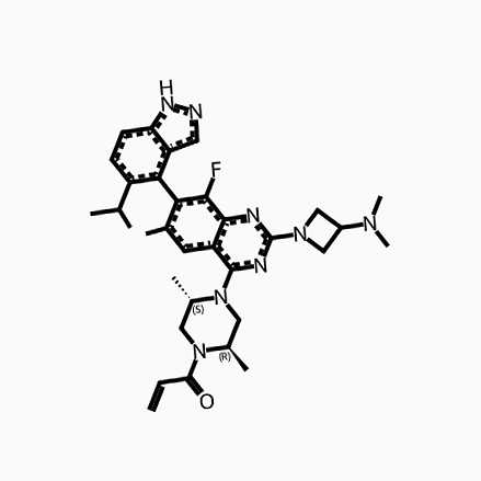 C=CC(=O)N1C[C@H](C)N(c2nc(N3CC(N(C)C)C3)nc3c(F)c(-c4c(C(C)C)ccc5[nH]ncc45)c(C)cc23)C[C@H]1C